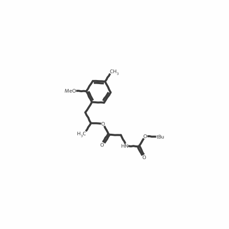 COc1cc(C)ccc1CC(C)OC(=O)CNC(=O)OC(C)(C)C